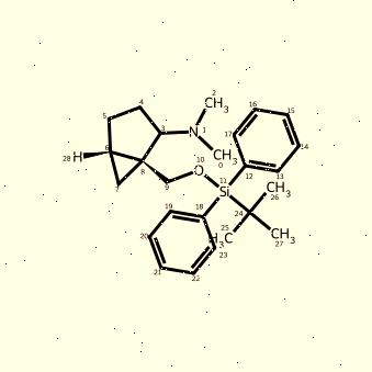 CN(C)C1CC[C@H]2C[C@@]12CO[Si](c1ccccc1)(c1ccccc1)C(C)(C)C